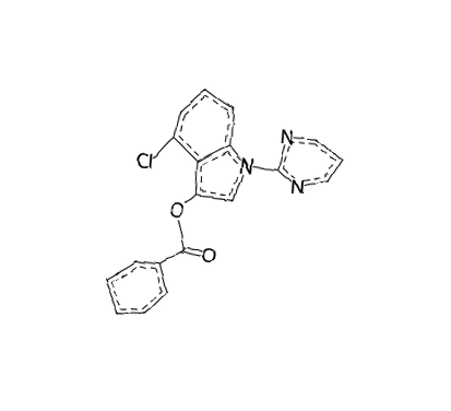 O=C(Oc1cn(-c2ncccn2)c2cccc(Cl)c12)c1ccccc1